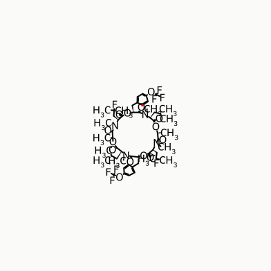 CC(C)C[C@H]1C(=O)O[C@@H](C)C(=O)N(C)[C@@H](CC(C)(C)F)C(=O)O[C@@H](Cc2ccc(OC(F)(F)F)cc2)C(=O)N(C)[C@@H](CC(C)C)C(=O)O[C@@H](C)C(=O)N(C)[C@@H](CC(C)(C)F)C(=O)O[C@@H](Cc2ccc(OC(F)(F)F)cc2)C(=O)N1C